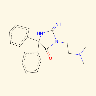 CN(C)CCN1C(=N)NC(c2ccccc2)(c2ccccc2)C1=O